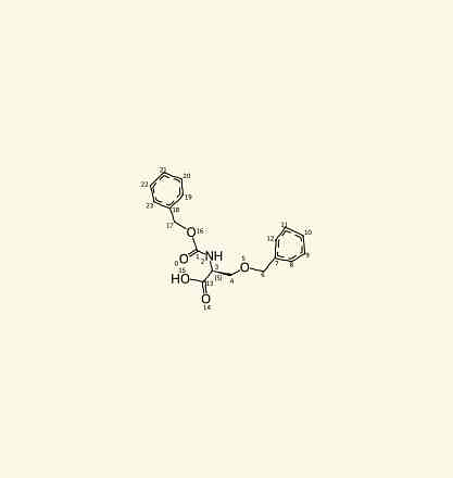 O=C(N[C@@H](COCc1ccccc1)C(=O)O)OCc1ccccc1